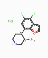 C[C@H]1CNCC[C@H]1c1cc(F)c(Cl)c2ccoc12.Cl